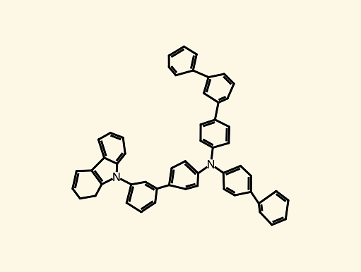 C1=Cc2c(n(-c3cccc(-c4ccc(N(c5ccc(-c6ccccc6)cc5)c5ccc(-c6cccc(-c7ccccc7)c6)cc5)cc4)c3)c3ccccc23)CC1